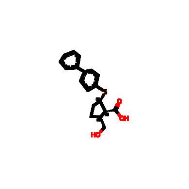 O=C(O)[C@@H]1[C@@H](CO)CC[C@H]1Sc1ccc(-c2ccccc2)cc1